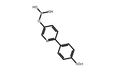 CCCCCCCCc1ccc(-c2ccc(OB(O)O)cn2)cc1